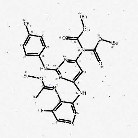 CCO/C(C)=N/c1c(F)cccc1Nc1cc(N(C(=O)OC(C)(C)C)C(=O)OC(C)(C)C)nc(Nc2ccc(C(F)(F)F)cc2)n1